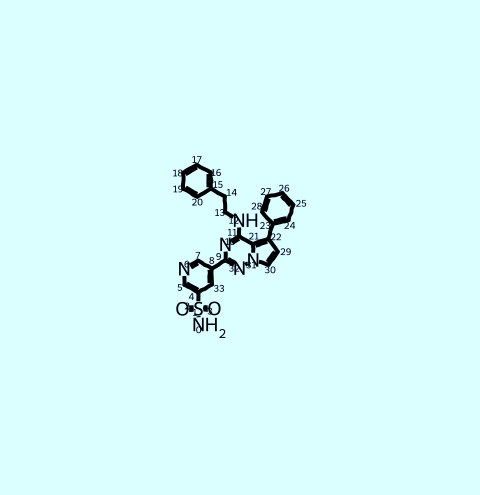 NS(=O)(=O)c1cncc(-c2nc(NCCc3ccccc3)c3c(-c4ccccc4)ccn3n2)c1